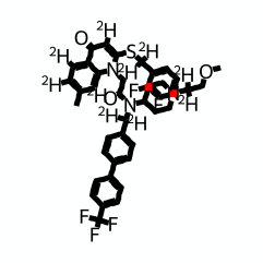 [2H]c1c(C)c([2H])c2c(c1[2H])c(=O)c([2H])c(SC([2H])([2H])c1cccc(F)c1F)n2CC(=O)N(C1CCN(C([2H])([2H])COC)CC1)C([2H])([2H])c1ccc(-c2ccc(C(F)(F)F)cc2)cc1